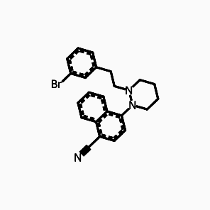 N#Cc1ccc(N2CCCCN2CCc2cccc(Br)c2)c2ccccc12